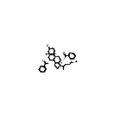 COCCCC(C)C1CCC2C3C(C[C@H](OC(=O)c4ccccc4)[C@]12C)[C@@]1(C)CCC(=O)C[C@H]1C[C@H]3OC(=O)c1ccccc1